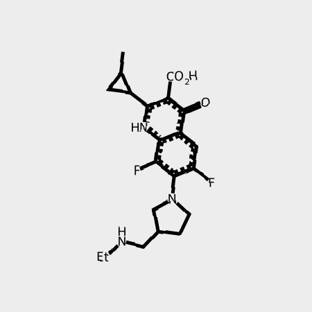 CCNCC1CCN(c2c(F)cc3c(=O)c(C(=O)O)c(C4CC4C)[nH]c3c2F)C1